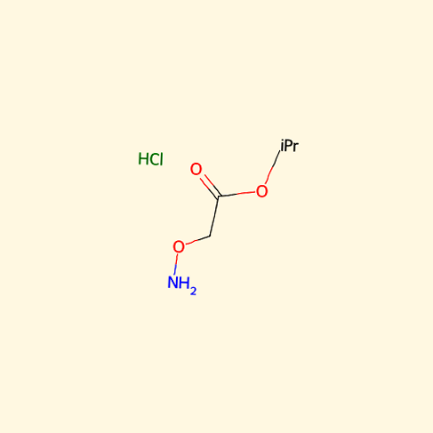 CC(C)OC(=O)CON.Cl